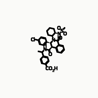 CC(NC(=O)[C@@H]1c2ccccc2C(=O)N([C@H]2CCCC[C@@H]2NS(C)(=O)=O)[C@H]1c1ccc(Cl)cc1)c1ccc(C(=O)O)cc1